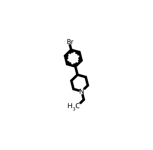 CCN1CCC(c2ccc(Br)cc2)CC1